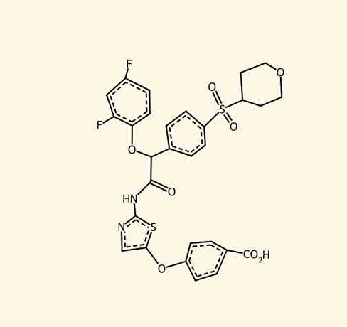 O=C(O)c1ccc(Oc2cnc(NC(=O)C(Oc3ccc(F)cc3F)c3ccc(S(=O)(=O)C4CCOCC4)cc3)s2)cc1